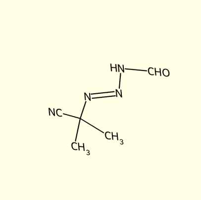 CC(C)(C#N)N=NNC=O